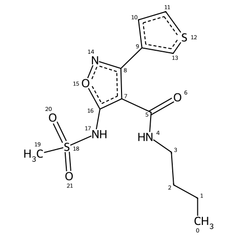 CCCCNC(=O)c1c(-c2ccsc2)noc1NS(C)(=O)=O